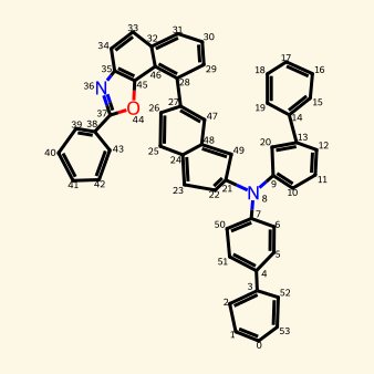 c1ccc(-c2ccc(N(c3cccc(-c4ccccc4)c3)c3ccc4ccc(-c5cccc6ccc7nc(-c8ccccc8)oc7c56)cc4c3)cc2)cc1